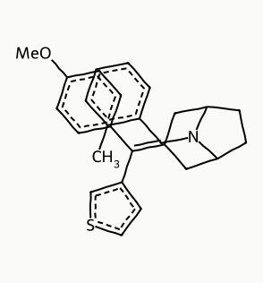 COc1ccc(C(=C2CC3CCC(C2)N3Cc2ccccc2C)c2ccsc2)cc1